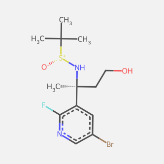 CC(C)(C)[S@@+]([O-])N[C@@](C)(CCO)c1cc(Br)cnc1F